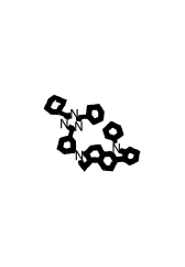 c1ccc(-c2nc(-c3ccccc3)nc(-c3cccc(-n4ccc5c6ccc7c8ccccc8n(-c8ccccc8)c7c6ccc54)c3)n2)cc1